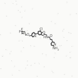 Nc1ccc(/C=C/C(=O)NCC2Cc3cc(-c4ccc(COCN5CC(F)(F)C5)cn4)cc(Cl)c3O2)cn1